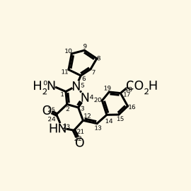 Nc1c2c(nn1-c1ccccc1)/C(=C\c1ccc(C(=O)O)cc1)C(=O)NC2=O